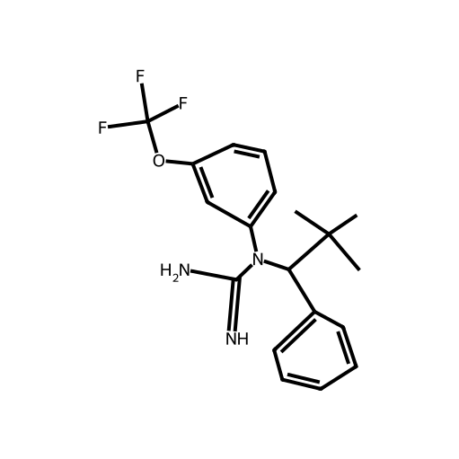 CC(C)(C)C(c1ccccc1)N(C(=N)N)c1cccc(OC(F)(F)F)c1